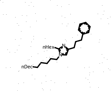 CCCCCCCCCCCCCCCn1cc(CCCc2ccccc2)nc1CCCCCC